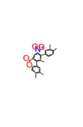 COC(=O)c1cc([N+](=O)[O-])c(-c2ccc(C)c(C)c2)c(C)c1-c1ccc(C)c(C)c1